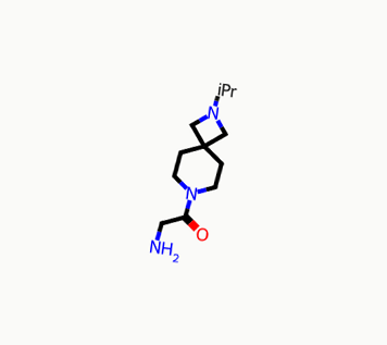 CC(C)N1CC2(CCN(C(=O)CN)CC2)C1